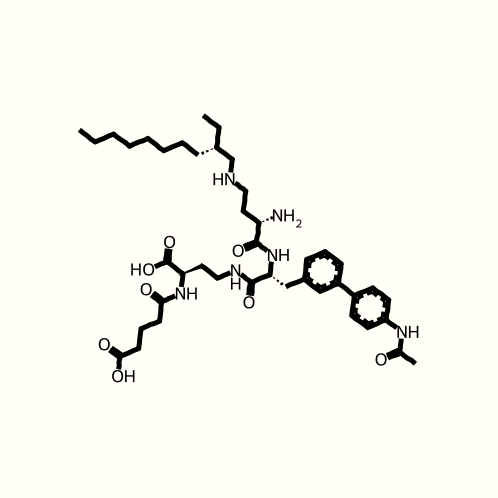 CCCCCCCC[C@H](CC)CNCC[C@H](N)C(=O)N[C@H](Cc1cccc(-c2ccc(NC(C)=O)cc2)c1)C(=O)NCC[C@@H](NC(=O)CCCC(=O)O)C(=O)O